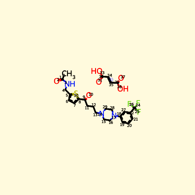 CC(=O)NCc1ccc(C(=O)CCCN2CCN(c3cccc(C(F)(F)F)c3)CC2)s1.O=C(O)/C=C/C(=O)O